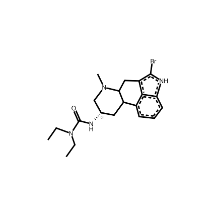 CCN(CC)C(=O)N[C@H]1CC2c3cccc4[nH]c(Br)c(c34)CC2N(C)C1